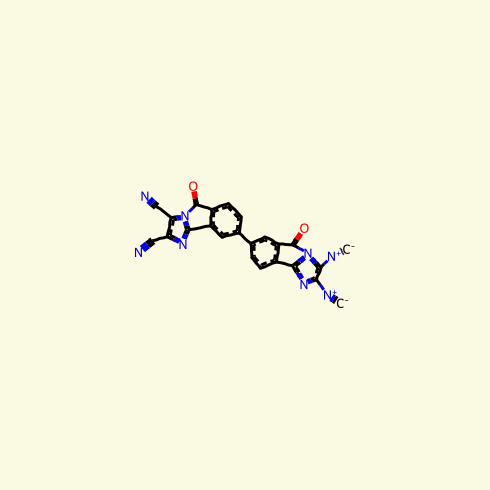 [C-]#[N+]c1nc2n(c1[N+]#[C-])C(=O)c1cc(-c3ccc4c(c3)-c3nc(C#N)c(C#N)n3C4=O)ccc1-2